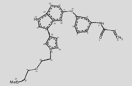 C=CC(=O)Nc1cccc(Oc2cnc3[nH]cc(-c4cnn(CCOCCOC)c4)c3n2)c1